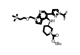 CC(C)(C)OC(=O)N1CCC[C@@H](Nc2c(-c3ccn(C(F)F)n3)cnc3c2ccn3COCC[Si](C)(C)C)C1